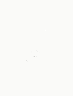 CCC(=O)Oc1ccc(CC[C@H]2CC[C@H](CC)CC2)nc1